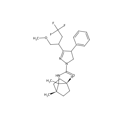 COCC(CC(F)(F)F)C1=NN(C(=O)NC2(C)[C@H]3CC[C@]2(C)CC3)CC1c1ccccc1